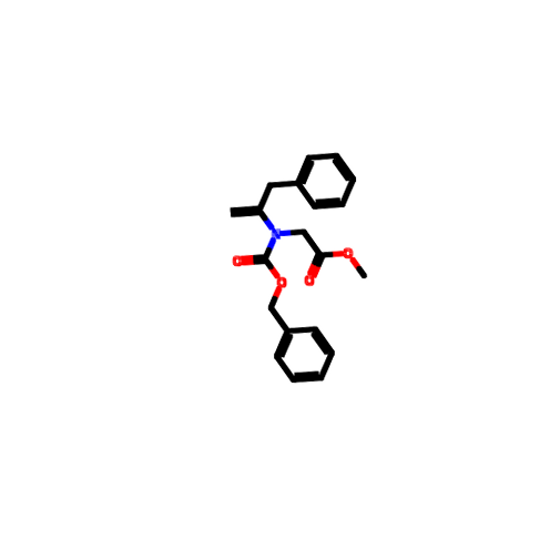 C=C(Cc1ccccc1)N(CC(=O)OC)C(=O)OCc1ccccc1